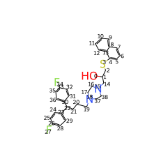 OC(CSc1cccc2ccccc12)CN1CCN(CCCC(c2ccc(F)cc2)c2ccc(F)cc2)CC1